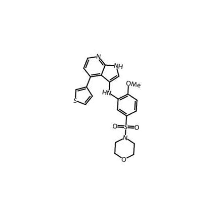 COc1ccc(S(=O)(=O)N2CCOCC2)cc1Nc1c[nH]c2nccc(-c3ccsc3)c12